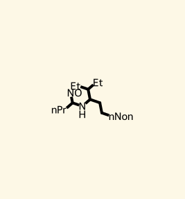 CCCCCCCCCCCC(NC(CCC)N=O)C(CC)CC